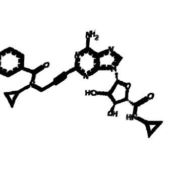 Nc1nc(C#CCN(C(=O)c2ccccc2)C2CC2)nc2c1ncn2[C@@H]1O[C@H](C(=O)NC2CC2)[C@@H](O)C1O